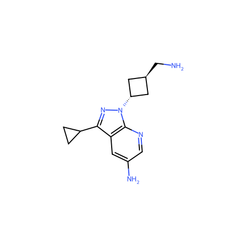 NC[C@H]1C[C@H](n2nc(C3CC3)c3cc(N)cnc32)C1